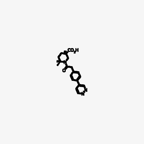 C[C@H]1CC[C@@H](C(=O)O)CN1C(=O)Cc1ccc(-c2ccnnc2)cc1